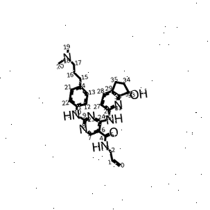 C=CCNC(=O)c1cnc(Nc2ccc(CCCN(C)C)cc2)nc1Nc1ccc2c(n1)C(O)CC2